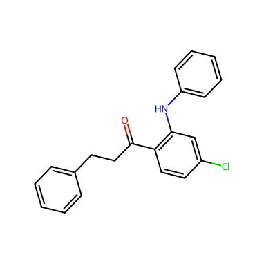 O=C(CCc1ccccc1)c1ccc(Cl)cc1Nc1ccccc1